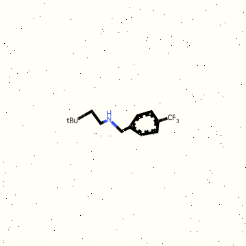 CC(C)(C)CCNCc1ccc(C(F)(F)F)cc1